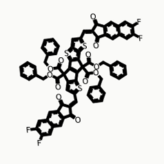 O=C1C(=Cc2cc3c(s2)C2=C(c4sc5cc(C=C6C(=O)c7cc8cc(F)c(F)cc8cc7C6=O)sc5c4C2(C(=O)OCc2ccccc2)C(=O)OCc2ccccc2)C3(C(=O)OCc2ccccc2)C(=O)OCc2ccccc2)C(=O)c2cc3cc(F)c(F)cc3cc21